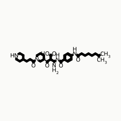 CC(C)CCCCCC(=O)Nc1ccc(C(=O)N[C@@H](N)C(C(=O)O)C(=O)[C@@H]2CCCN(C(=O)CCC3CCNCC3)C2)cc1